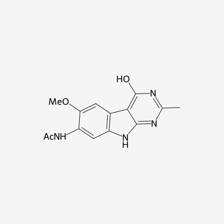 COc1cc2c(cc1NC(C)=O)[nH]c1nc(C)nc(O)c12